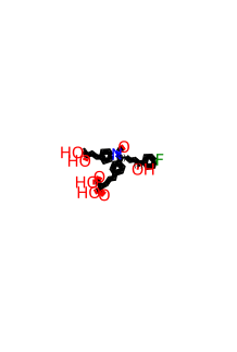 O=CN(c1ccc(CCC(O)CO)cc1)[C@@H](CCC[C@H](O)c1ccc(F)cc1)c1ccc(CCCC(C(=O)O)C(=O)O)cc1